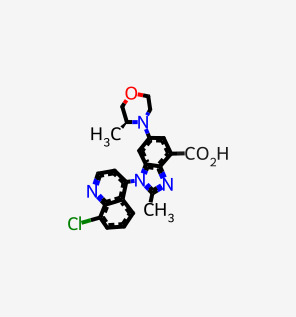 Cc1nc2c(C(=O)O)cc(N3CCOC[C@@H]3C)cc2n1-c1ccnc2c(Cl)cccc12